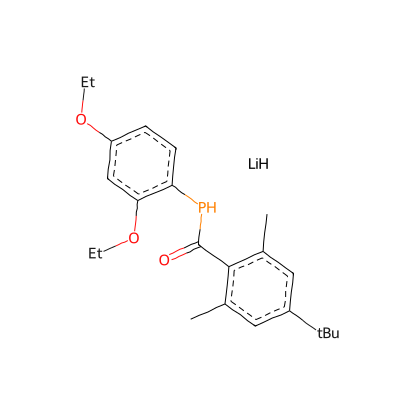 CCOc1ccc(PC(=O)c2c(C)cc(C(C)(C)C)cc2C)c(OCC)c1.[LiH]